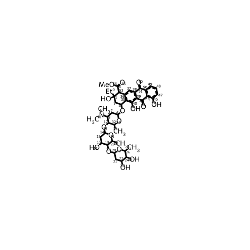 CCC1(O)CC(OC2CC(N(C)C)C(OC3CC(O)C(OC4CC(O)C(O)C(C)O4)C(C)O3)C(C)O2)c2c(cc3c(c2O)C(=O)c2c(O)cccc2C3=O)C1C(=O)OC